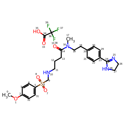 COc1ccc(S(=O)(=O)CNCCCC(=O)N(C)CCc2ccc(C3=NCCN3)cc2)cc1.O=C(O)C(F)(F)F